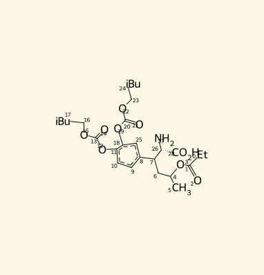 CCC(=O)OC(C)CC(c1ccc(OC(=O)OCC(C)CC)c(OC(=O)OCC(C)CC)c1)[C@H](N)C(=O)O